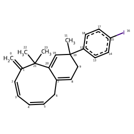 C=C1/C=C\C=C/CC2=CCC(C)(c3ccc(I)cc3)C=C2C1(C)C